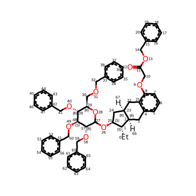 CC[C@H]1[C@@H]2Cc3cccc(OCC(=O)OCc4ccccc4)c3C[C@@H]2C[C@@H]1OC1O[C@H](COCc2ccccc2)[C@@H](OCc2ccccc2)[C@H](OCc2ccccc2)[C@H]1OCc1ccccc1